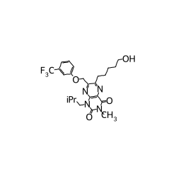 CC(C)Cn1c(=O)n(C)c(=O)c2nc(CCCCCO)c(COc3cccc(C(F)(F)F)c3)nc21